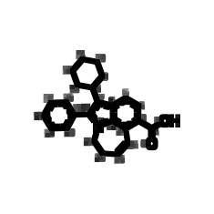 O=C(O)c1ccc2c(C3CCCCC3)c(-c3ccccc3)n3c2c1C=CCC3